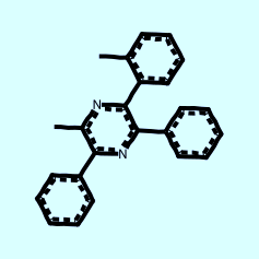 Cc1ccccc1-c1nc(C)c(-c2ccccc2)nc1-c1ccccc1